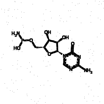 Nc1ncn([C@@H]2O[C@H](COP(N)O)[C@@H](O)[C@H]2O)c(=O)n1